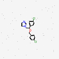 Clc1ccc(COC(Cn2ccnc2)c2ccc(Cl)cc2)cc1